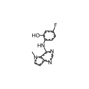 Cn1ccc2ncnc(Nc3ccc(F)cc3O)c21